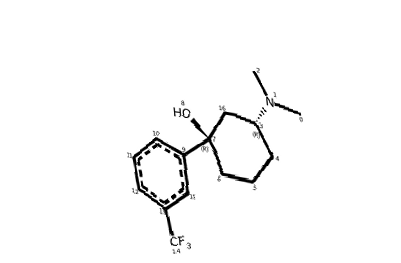 CN(C)[C@@H]1CCC[C@](O)(c2cccc(C(F)(F)F)c2)C1